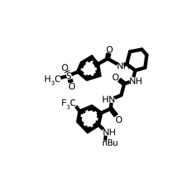 CCCCNc1ccc(C(F)(F)F)cc1C(=O)NCC(=O)NC1CCCCC1NC(=O)c1ccc(S(C)(=O)=O)cc1